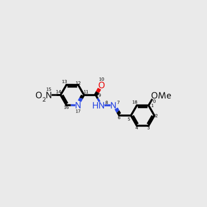 COc1cccc(C=NNC(=O)c2ccc([N+](=O)[O-])cn2)c1